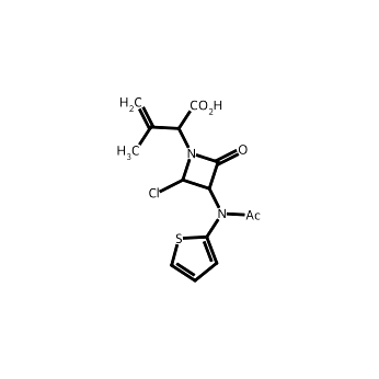 C=C(C)C(C(=O)O)N1C(=O)C(N(C(C)=O)c2cccs2)C1Cl